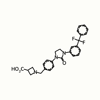 O=C(O)C1CN(Cc2ccc(N3CCN(c4cccc(C(F)(F)c5ccccc5)c4)C3=O)cc2)C1